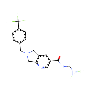 O=C(NCN(F)F)c1cnc2c(c1)CN(Cc1ccc(C(F)(F)F)cc1)C2